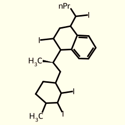 CCCC(I)C1CC(I)C([C@H](C)CC2CCC(C)C(I)C2I)c2ccccc21